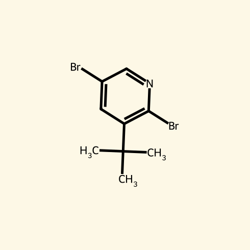 CC(C)(C)c1cc(Br)cnc1Br